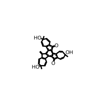 C=C1C2=C(C=CC(C)(O)C=C2)c2c1c1c3c(c(=O)c1c1c4c(c(=O)c21)C=CC(C)(O)C=C4)C=CC(C)(O)C=C3